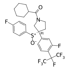 O=C(C1CCCCC1)N1CC[C@](c2ccc(C(F)(C(F)(F)F)C(F)(F)F)c(F)c2)([S+]([O-])c2ccc(F)cc2)C1